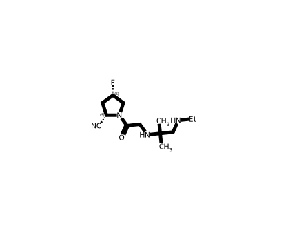 CCNCC(C)(C)NCC(=O)N1C[C@@H](F)C[C@H]1C#N